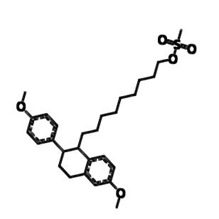 COc1ccc(C2CCc3cc(OC)ccc3C2CCCCCCCCCOS(C)(=O)=O)cc1